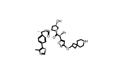 Cc1ncsc1-c1ccc([C@H](C)NC(=O)[C@@H]2C[C@@H](O)CN2C(=O)[C@H](c2cc(OC3CC4(CCNCC4)C3)no2)C(C)C)cc1